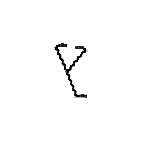 CCCCCCCC/C=C\CCCCCCC[CH2][Al]([CH2]CCCCCCC/C=C\CCCCCCCC)[CH2]CCCCCCC/C=C\CCCCCCCC